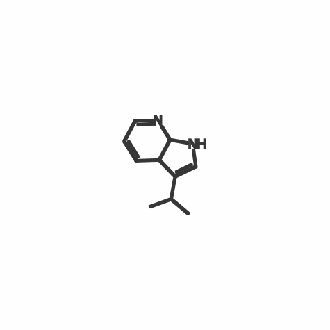 CC(C)C1=CNC2N=CC=CC12